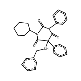 O=C1N(c2ccccc2)C(=O)C(NCc2ccccc2)(c2ccccc2)C(=O)N1C1CCCCC1